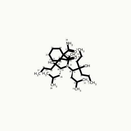 CCCC(O)(CCC)[C@@H](CC(C)C)N(C(=O)C1(C(N)=O)CCCCC1)[C@H](CC(C)C)C(O)(CCC)CCC